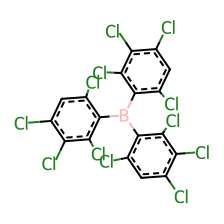 Clc1cc(Cl)c(B(c2c(Cl)cc(Cl)c(Cl)c2Cl)c2c(Cl)cc(Cl)c(Cl)c2Cl)c(Cl)c1Cl